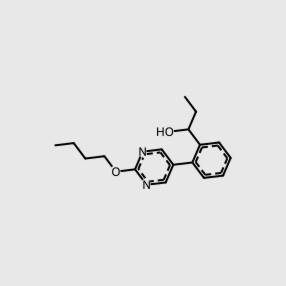 CCCCOc1ncc(-c2ccccc2C(O)CC)cn1